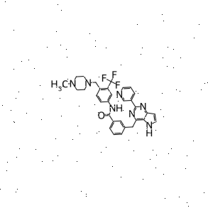 CN1CCN(Cc2ccc(NC(=O)c3cccc(Cc4nc(-c5cccnc5)nc5cc[nH]c45)c3)cc2C(F)(F)F)CC1